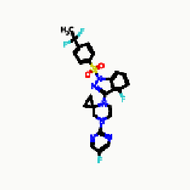 CC(F)(F)c1ccc(S(=O)(=O)n2nc(N3CCN(c4ncc(F)cn4)CC34CC4)c3c(F)cccc32)cc1